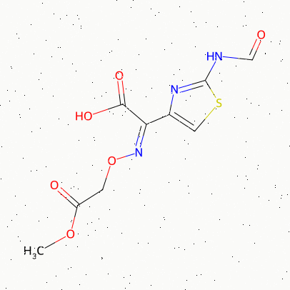 COC(=O)CON=C(C(=O)O)c1csc(NC=O)n1